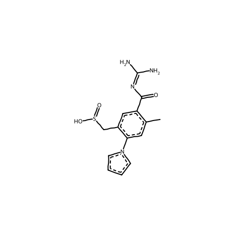 Cc1cc(-n2cccc2)c(CS(=O)O)cc1C(=O)N=C(N)N